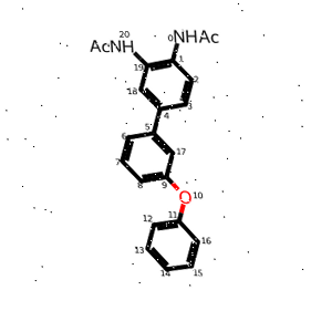 CC(=O)Nc1ccc(-c2[c]ccc(Oc3ccccc3)c2)cc1NC(C)=O